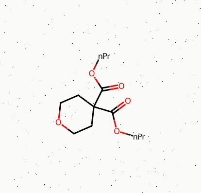 CCCOC(=O)C1(C(=O)OCCC)CCOCC1